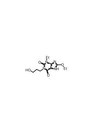 CCOc1nc2c([nH]1)c(=O)n(CCCO)c(=O)n2CC